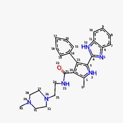 Cc1[nH]c(-c2nc3ccccc3[nH]2)c(-c2ccccc2)c1C(=O)NCCN1CCN(C)CC1